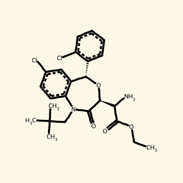 CCOC(=O)C(N)[C@@H]1O[C@@H](c2ccccc2Cl)c2cc(Cl)ccc2N(CC(C)(C)C)C1=O